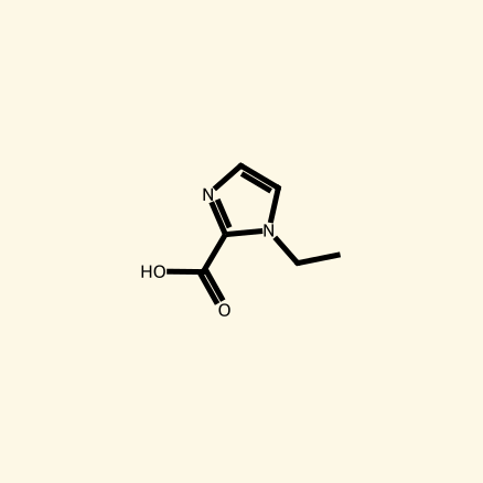 CCn1ccnc1C(=O)O